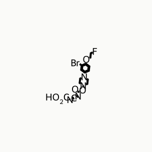 O=C(O)N=C=NC(=O)ON1CCN(c2ccc(OCCF)c(Br)c2)CC1